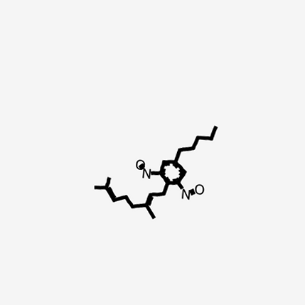 CCCCCc1cc(N=O)c(C/C=C(\C)CCC=C(C)C)c(N=O)c1